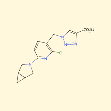 CCOC(=O)c1cn(Cc2ccc(N3CC4CC4C3)nc2Cl)nn1